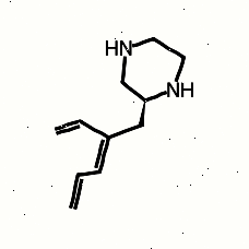 C=C/C=C(\C=C)C[C@H]1CNCCN1